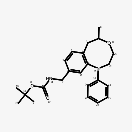 CC1Cc2ccc(CNC(=O)OC(C)(C)C)cc2N(c2ccccc2)CCO1